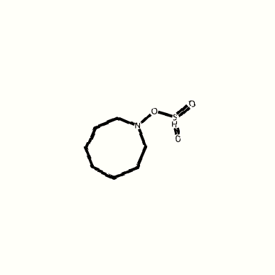 O=[SH](=O)ON1CCCCCCC1